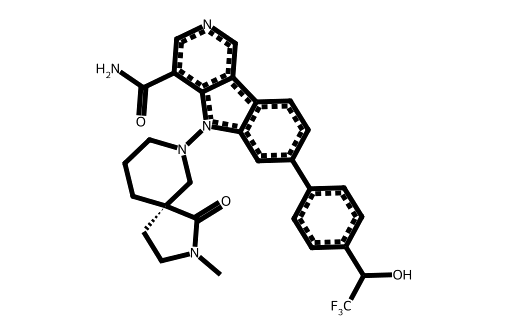 CN1CC[C@@]2(CCCN(n3c4cc(-c5ccc(C(O)C(F)(F)F)cc5)ccc4c4cncc(C(N)=O)c43)C2)C1=O